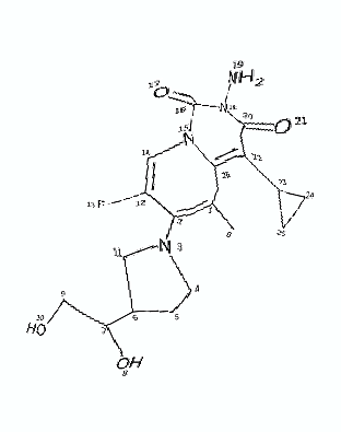 Cc1c(N2CCC(C(O)CO)C2)c(F)cn2c(=O)n(N)c(=O)c(C3CC3)c12